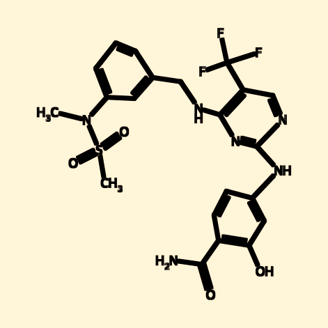 CN(c1cccc(CNc2nc(Nc3ccc(C(N)=O)c(O)c3)ncc2C(F)(F)F)c1)S(C)(=O)=O